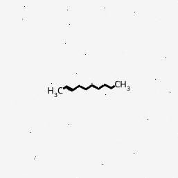 C/C=C/CC[CH]CCCC